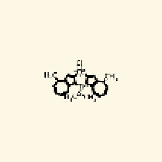 CC1=CC2=C(C=CC=CC2C)[CH]1[Ti+2]([CH]1C(C)=CC2=C1C=CC=CC2C)=[Si](C)C.[Cl-].[Cl-]